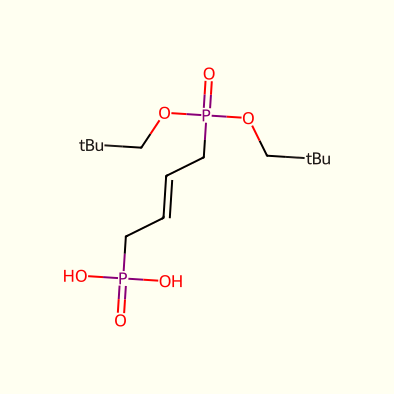 CC(C)(C)COP(=O)(CC=CCP(=O)(O)O)OCC(C)(C)C